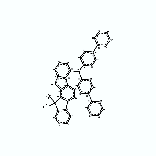 CC1(C)c2ccccc2-c2ccc3c(oc4cccc(N(c5ccc(-c6ccccc6)cc5)c5ccc(-c6ccccc6)cc5)c43)c21